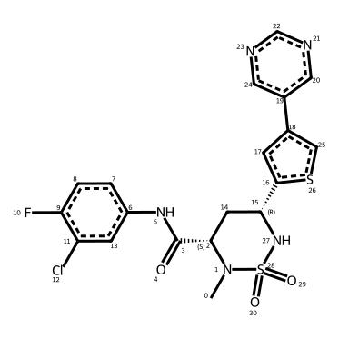 CN1[C@H](C(=O)Nc2ccc(F)c(Cl)c2)C[C@H](c2cc(-c3cncnc3)cs2)NS1(=O)=O